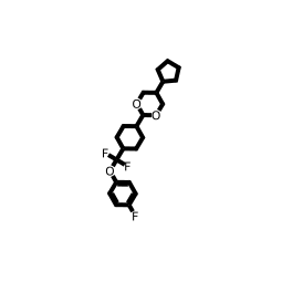 Fc1ccc(OC(F)(F)C2CCC(C3OCC(C4CCCC4)CO3)CC2)cc1